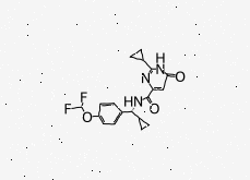 O=C(N[C@@H](c1ccc(OC(F)F)cc1)C1CC1)c1cc(=O)[nH]c(C2CC2)n1